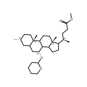 COC(=O)CC[C@@H](C)C1CCC2C3C(CC[C@@]21C)[C@@]1(C)CC[C@@H](C)CC1C[C@H]3OC1CCCCO1